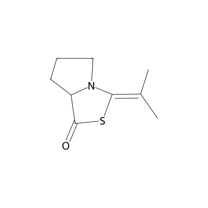 CC(C)=C1SC(=O)C2CCCN12